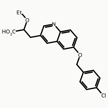 CCOC(Cc1cnc2ccc(OCc3ccc(Cl)cc3)cc2c1)C(=O)O